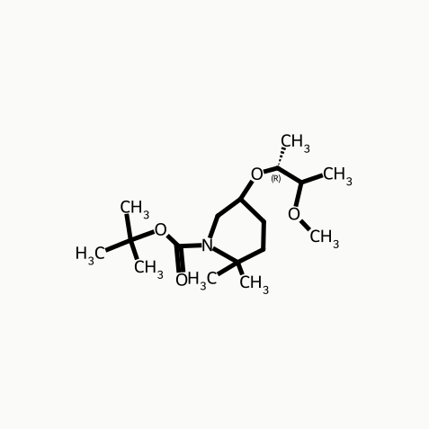 COC(C)[C@@H](C)OC1CCC(C)(C)N(C(=O)OC(C)(C)C)C1